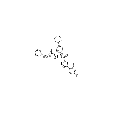 O=C(N[C@@H]1CCN(C2CCCCC2)C[C@H]1C(=O)N[C@H]1C[C@@H]1c1ccccc1)c1cc(-c2ccc(F)cc2F)on1